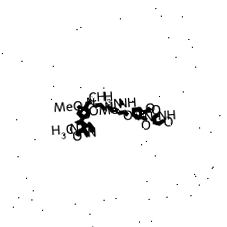 COc1cc(-c2cn(C)c(=O)c3cnccc23)cc(OC)c1CN(C)CCCN/C=C(/CCOc1ccc2c(c1)C(=O)N(C1CCC(=O)NC1=O)C2=O)N=N